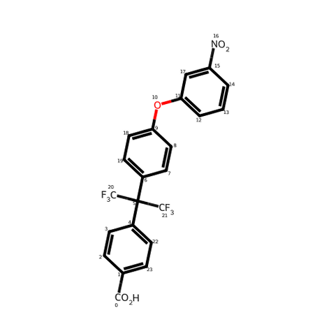 O=C(O)c1ccc(C(c2ccc(Oc3cccc([N+](=O)[O-])c3)cc2)(C(F)(F)F)C(F)(F)F)cc1